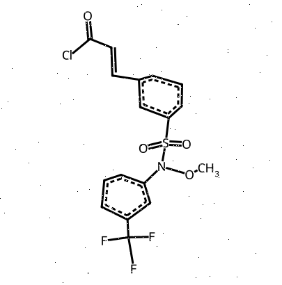 CON(c1cccc(C(F)(F)F)c1)S(=O)(=O)c1cccc(C=CC(=O)Cl)c1